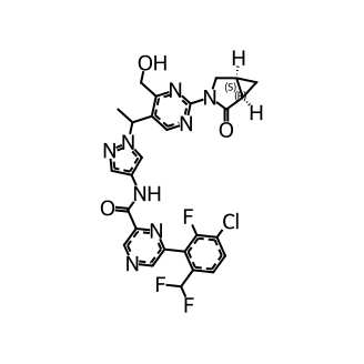 CC(c1cnc(N2C[C@H]3C[C@H]3C2=O)nc1CO)n1cc(NC(=O)c2cncc(-c3c(C(F)F)ccc(Cl)c3F)n2)cn1